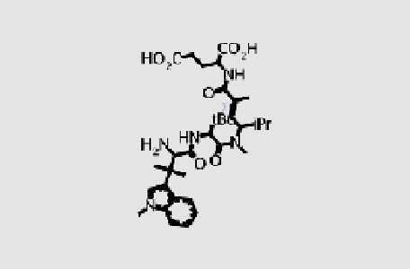 C/C(=C\C(C(C)C)N(C)C(=O)C(NC(=O)C(N)C(C)(C)c1cn(C)c2ccccc12)C(C)(C)C)C(=O)NC(CCC(=O)O)C(=O)O